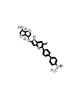 C[S+]([O-])c1ccc(-c2ccc(-c3nc4cc(O[C@@H]5CO[C@H]6[C@@H]5OC[C@H]6O)[nH]c4cc3F)cc2)cc1